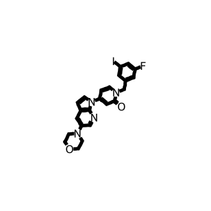 O=c1cc(-n2ccc3cc(N4CCOCC4)cnc32)ccn1Cc1cc(F)cc(I)c1